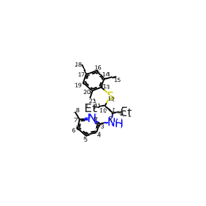 CCC(Nc1cccc(C)n1)C(CC)Sc1c(C)cc(C)cc1C